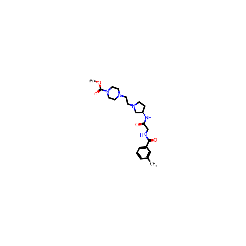 CC(C)OC(=O)N1CCN(CCN2CC[C@@H](NC(=O)CNC(=O)c3cccc(C(F)(F)F)c3)C2)CC1